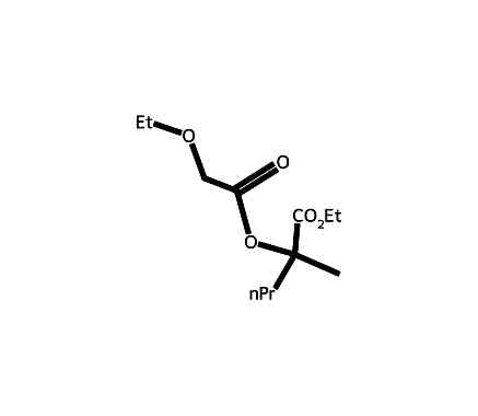 CCCC(C)(OC(=O)COCC)C(=O)OCC